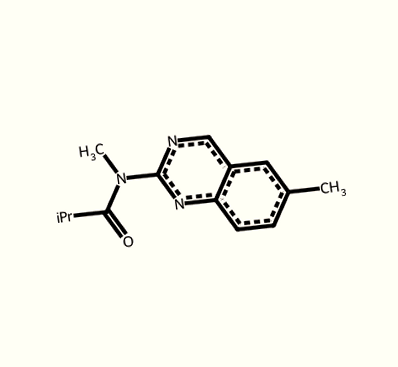 Cc1ccc2nc(N(C)C(=O)C(C)C)ncc2c1